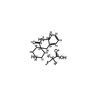 O=C(O)C(F)(F)F.O=C1Nc2ncccc2CC12CCNCC2